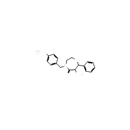 COc1ccc(CN2CCOC(c3ccccc3)C(O)C2=O)cc1